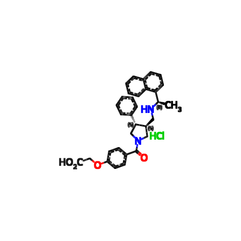 C[C@@H](NC[C@H]1CN(C(=O)c2ccc(OCC(=O)O)cc2)C[C@@H]1c1ccccc1)c1cccc2ccccc12.Cl